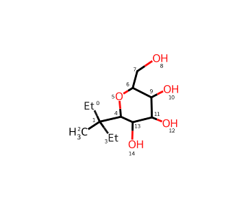 CCC(C)(CC)C1OC(CO)C(O)C(O)C1O